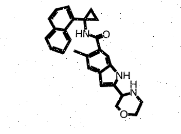 Cc1cc2cc(C3COCCN3)[nH]c2cc1C(=O)NC1(c2cccc3ccccc23)CC1